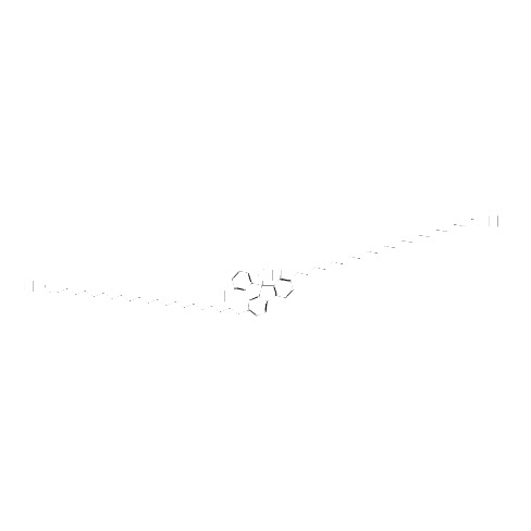 CCCCCCCCCCCCCCCCCCCCCCc1ccc2c(c1)C(O)(c1cccc(F)c1)c1cc(CCCCCCCCCCCCCCCCCCCCCC)ccc1-2